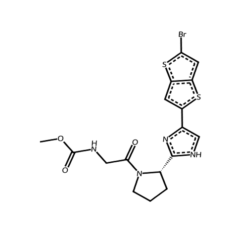 COC(=O)NCC(=O)N1CCC[C@H]1c1nc(-c2cc3sc(Br)cc3s2)c[nH]1